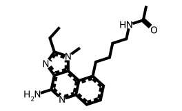 CCc1nc2c(N)nc3cccc(CCCCNC(C)=O)c3c2n1C